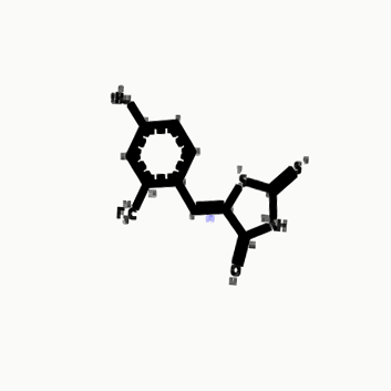 CC(C)(C)c1ccc(/C=C2\SC(=S)NC2=O)c(C(F)(F)F)c1